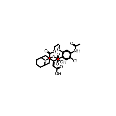 CCOC(=O)C(/C(=C/C(=O)O)C(=O)O)N1C2CCCC1CC(NC(=O)c1cc(Cl)c(NC(C)=O)cc1OC)C2